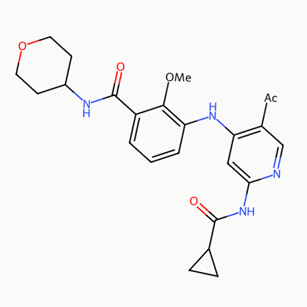 COc1c(Nc2cc(NC(=O)C3CC3)ncc2C(C)=O)cccc1C(=O)NC1CCOCC1